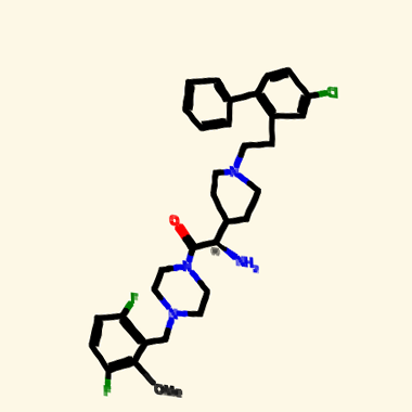 COc1c(F)ccc(F)c1CN1CCN(C(=O)[C@H](N)C2CCN(CCc3cc(Cl)ccc3-c3ccccc3)CC2)CC1